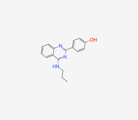 CCCNc1nc(-c2ccc(O)cc2)nc2ccccc12